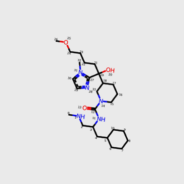 CNCC(CC1CCCCC1)NC(=O)N1CCCC(C(O)(CCCCOC)c2nccn2C)C1